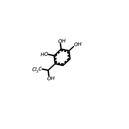 Oc1ccc(C(O)C(Cl)(Cl)Cl)c(O)c1O